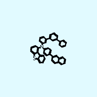 c1ccc(-c2cccc(-c3cccc(N(c4ccc(-c5ccc6ccccc6c5)cc4)c4cccc5sc6ccccc6c45)c3)c2)cc1